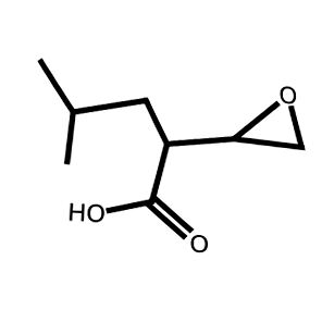 CC(C)CC(C(=O)O)C1CO1